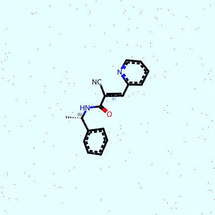 C[C@H](NC(=O)/C(C#N)=C/c1ccccn1)c1ccccc1